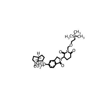 C[Si](C)(C)CCOCN1C(=O)CCC(N2Cc3cc(O[C@H]4CC[C@@H]5CCN(C(=O)O)[C@@H]54)ccc3C2=O)C1=O